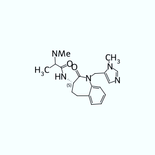 CNC(C)C(=O)N[C@H]1CCc2ccccc2N(Cc2cncn2C)C1=O